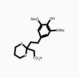 COc1cc(CCC2(CC(=O)O)SCCCS2)cc(OC)c1O